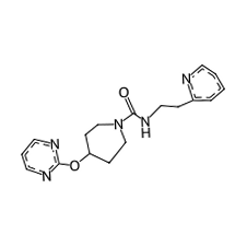 O=C(NCCc1ccccn1)N1CCC(Oc2ncccn2)CC1